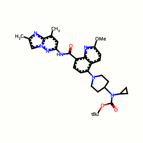 COc1ccc2c(N3CCC(N(C(=O)OC(C)(C)C)C4CC4)CC3)ccc(C(=O)Nc3cc(C)c4nc(C)cn4n3)c2n1